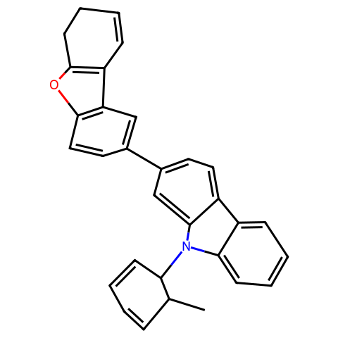 CC1C=CC=CC1n1c2ccccc2c2ccc(-c3ccc4oc5c(c4c3)C=CCC5)cc21